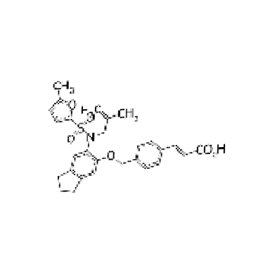 C=C(C)CN(c1cc2c(cc1OCc1ccc(/C=C/C(=O)O)cc1)CCC2)S(=O)(=O)c1ccc(C)o1